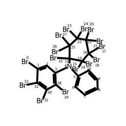 Brc1cc(N(c2ccccc2)C2(Br)C(Br)(Br)C(Br)(Br)C(Br)(Br)C(Br)(Br)C2(Br)Br)c(Br)c(Br)c1Br